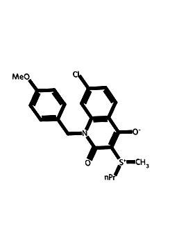 CCC[S+](C)c1c([O-])c2ccc(Cl)cc2n(Cc2ccc(OC)cc2)c1=O